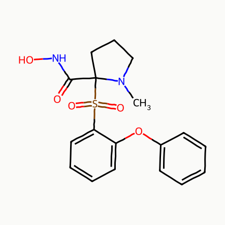 CN1CCCC1(C(=O)NO)S(=O)(=O)c1ccccc1Oc1ccccc1